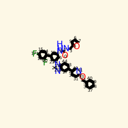 O=C(NCc1ccco1)Nc1cc(-c2ccc(F)cc2F)cc(-n2cnc3cc(-c4ccc(OCc5ccccc5)nc4)ccc32)c1